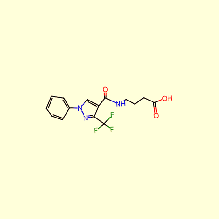 O=C(O)CCCNC(=O)c1cn(-c2ccccc2)nc1C(F)(F)F